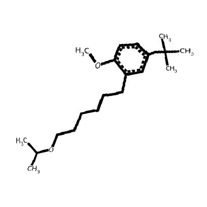 COc1ccc(C(C)(C)C)cc1CCCCCCOC(C)C